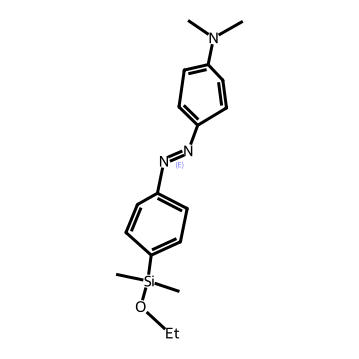 CCO[Si](C)(C)c1ccc(/N=N/c2ccc(N(C)C)cc2)cc1